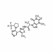 Cc1sc(NC(=O)C(C)n2cnc3c2c(=O)n(C)c(=O)n3C)nc1-c1cncnc1N1CCCC1C(F)(F)F